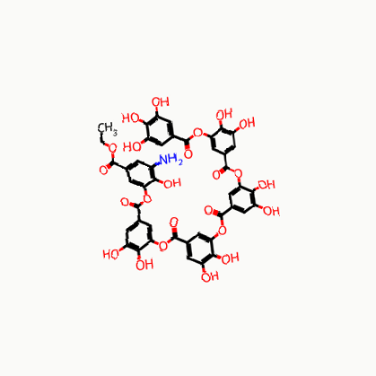 CCOC(=O)c1cc(N)c(O)c(OC(=O)c2cc(O)c(O)c(OC(=O)c3cc(O)c(O)c(OC(=O)c4cc(O)c(O)c(OC(=O)c5cc(O)c(O)c(OC(=O)c6cc(O)c(O)c(O)c6)c5)c4)c3)c2)c1